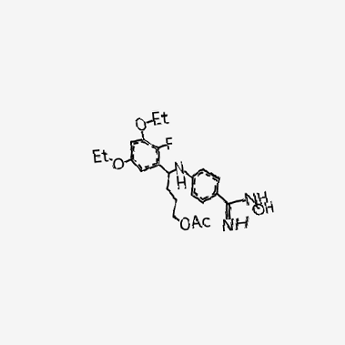 CCOc1cc(OCC)c(F)c(C(CCCOC(C)=O)Nc2ccc(C(=N)NO)cc2)c1